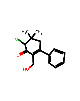 CC1(C)CC(c2ccccc2)=C(CO)C(=O)C1Cl